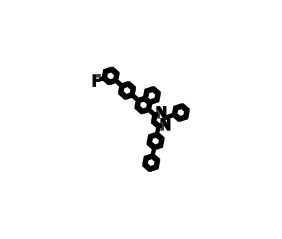 Fc1cccc(-c2ccc(-c3ccc(-c4cc(-c5ccc(-c6ccccc6)cc5)nc(-c5ccccc5)n4)c4ccccc34)cc2)c1